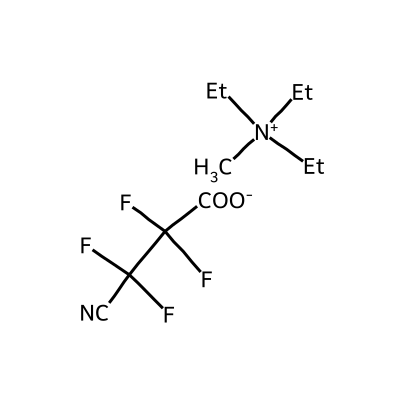 CC[N+](C)(CC)CC.N#CC(F)(F)C(F)(F)C(=O)[O-]